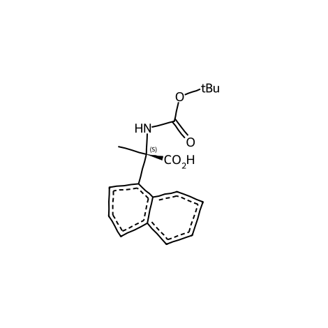 CC(C)(C)OC(=O)N[C@](C)(C(=O)O)c1cccc2ccccc12